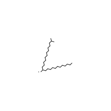 [CH2]C(CCCCCCCCCCCC)CCCCCCCCCCCC(C)C